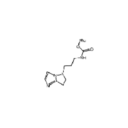 CC(C)(C)OC(=O)NCCCN1CCc2nccn21